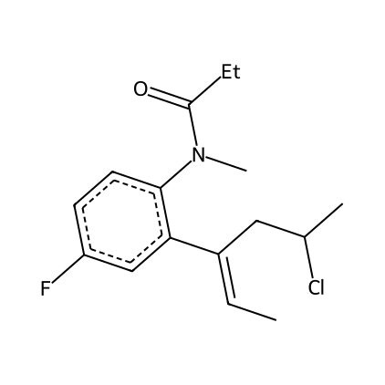 C/C=C(\CC(C)Cl)c1cc(F)ccc1N(C)C(=O)CC